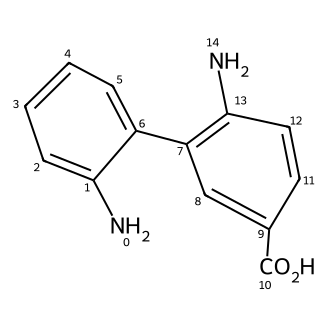 Nc1ccccc1-c1cc(C(=O)O)ccc1N